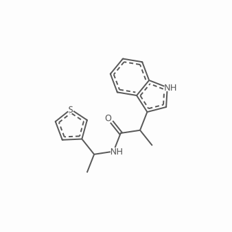 CC(NC(=O)C(C)c1c[nH]c2ccccc12)c1ccsc1